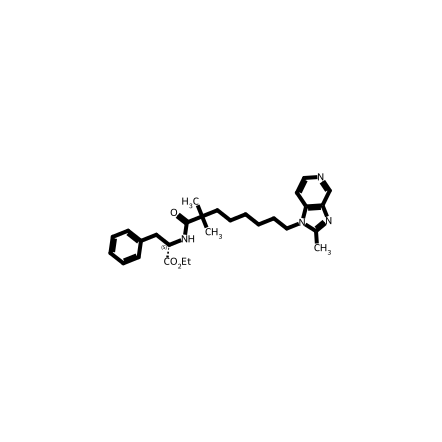 CCOC(=O)[C@H](Cc1ccccc1)NC(=O)C(C)(C)CCCCCCn1c(C)nc2cnccc21